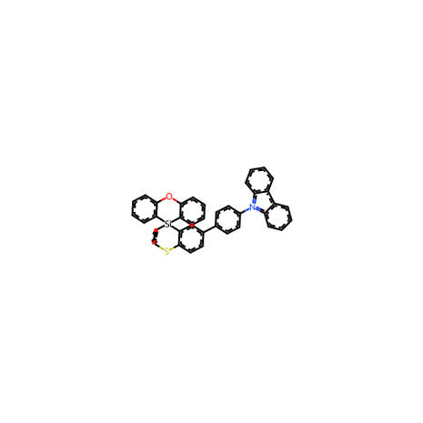 c1ccc2c(c1)Oc1ccccc1[Si]21c2ccccc2Sc2ccc(-c3ccc(-n4c5ccccc5c5ccccc54)cc3)cc21